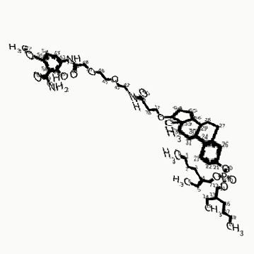 CCCCC(CC)COP(=O)(OCC(CC)CCCC)Oc1ccc2c(c1)CCC1C2CCC2(C)C(OCCC(=O)NCCOCCOCC(=O)Nc3ccc(OC)c(C(N)=O)c3O)CCC12